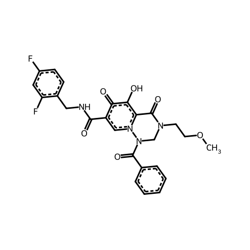 COCCN1CN(C(=O)c2ccccc2)n2cc(C(=O)NCc3ccc(F)cc3F)c(=O)c(O)c2C1=O